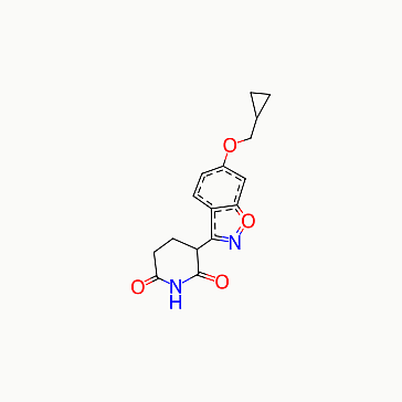 O=C1CCC(c2noc3cc(OCC4CC4)ccc23)C(=O)N1